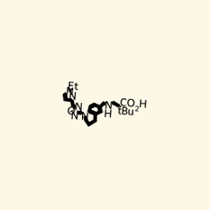 CCn1ccc(-c2nc(N3CCCc4cc(CNCC(C(=O)O)C(C)(C)C)ccc43)no2)n1